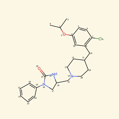 CC(C)Oc1ccc(Cl)c(CC2CCN(CC3CN(c4ccccc4)C(=O)N3)CC2)c1